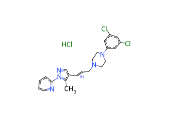 Cc1c(/C=C/CN2CCN(c3cc(Cl)cc(Cl)c3)CC2)cnn1-c1ccccn1.Cl